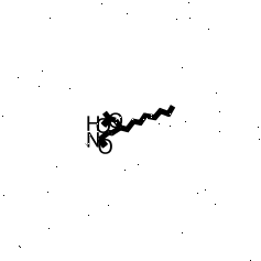 CCCCCCCCC(CCC(=O)NC)OC(C)=O